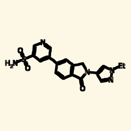 CCn1cc(N2Cc3cc(-c4cncc(S(N)(=O)=O)c4)ccc3C2=O)cn1